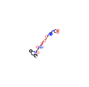 O=C(CCC(=O)N1Cc2ccccc2/C=C\c2ccccc21)NCCOCCOCCOCCn1cc(CN2CCS(=O)(=O)CC2)nn1